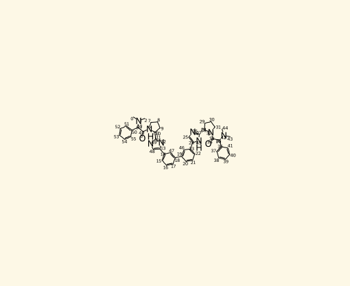 CN(C)[C@@H](C(=O)N1CCC[C@H]1c1nc(-c2cccc(-c3cccc(-c4cnc([C@@H]5CCCN5C(=O)[C@@H](c5ccccc5)N(C)C)[nH]4)c3)c2)c[nH]1)c1ccccc1